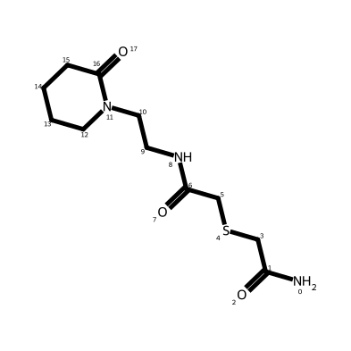 NC(=O)CSCC(=O)NCCN1CCCCC1=O